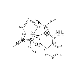 CCS(=O)(=O)[C@@]1(C(Cc2ccccc2C(N)=O)OC(F)F)C=CC=CC1C#N